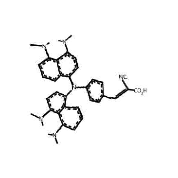 [C-]#[N+]/C(=C\c1ccc(N(c2ccc(N(C)C)c3c(N(C)C)cccc23)c2ccc(N(C)C)c3c(N(C)C)cccc23)cc1)C(=O)O